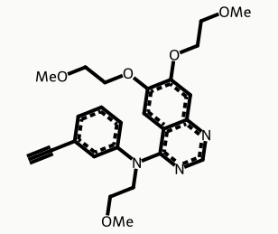 C#Cc1cccc(N(CCOC)c2ncnc3cc(OCCOC)c(OCCOC)cc23)c1